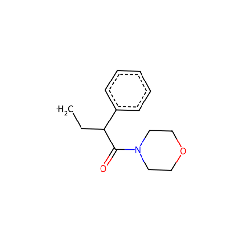 [CH2]CC(C(=O)N1CCOCC1)c1ccccc1